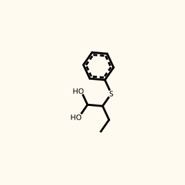 CCC(Sc1ccccc1)C(O)O